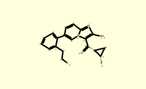 Nc1nc2ccc(-c3ccccc3CCF)cn2c1C(=O)[C@@H]1C[C@@H]1F